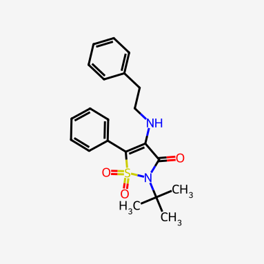 CC(C)(C)N1C(=O)C(NCCc2ccccc2)=C(c2ccccc2)S1(=O)=O